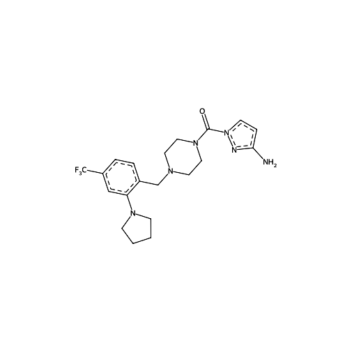 Nc1ccn(C(=O)N2CCN(Cc3ccc(C(F)(F)F)cc3N3CCCC3)CC2)n1